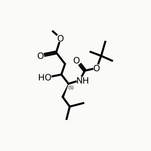 COC(=O)CC(O)[C@H](CC(C)C)NC(=O)OC(C)(C)C